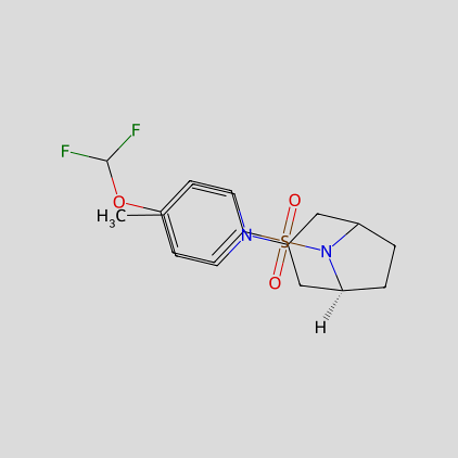 CC1CCN(C2CC3CC[C@@H](C2)N3S(=O)(=O)c2ccc(OC(F)F)cc2)CC1